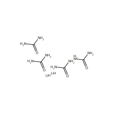 NC(N)=O.NC(N)=O.NC(N)=O.NC(N)=O.[LiH].[LiH]